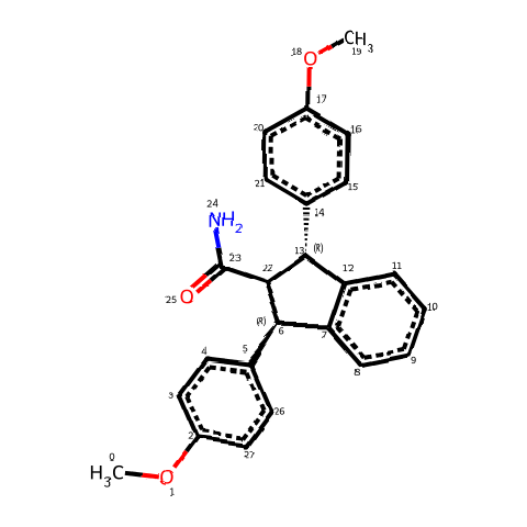 COc1ccc([C@@H]2c3ccccc3[C@@H](c3ccc(OC)cc3)C2C(N)=O)cc1